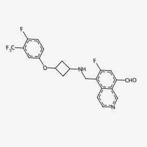 O=Cc1cc(F)c(CNC2CC(Oc3ccc(F)c(C(F)(F)F)c3)C2)c2ccncc12